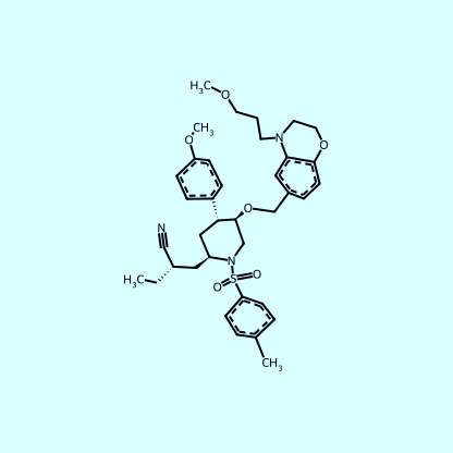 CC[C@H](C#N)C[C@H]1C[C@H](c2ccc(OC)cc2)[C@@H](OCc2ccc3c(c2)N(CCCOC)CCO3)CN1S(=O)(=O)c1ccc(C)cc1